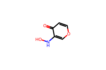 O=c1ccocc1NO